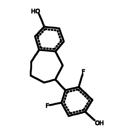 Oc1cc(F)c(C2CCCc3cc(O)ccc3C2)c(F)c1